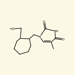 Cc1cn(CC2CCCCCC2CO)c(=O)[nH]c1=O